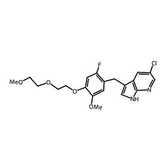 COCCOCCOc1cc(F)c(Cc2c[nH]c3ncc(Cl)cc23)cc1OC